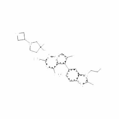 COc1nc(N[C@@H]2CN(C3COC3)CC2(F)F)nn2cc(F)c(-c3ccc4nc(C)n(CCF)c4c3)c12